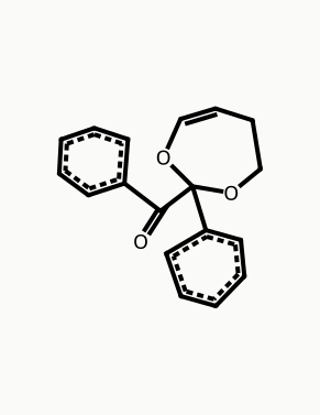 O=C(c1ccccc1)C1(c2ccccc2)OC=CCCO1